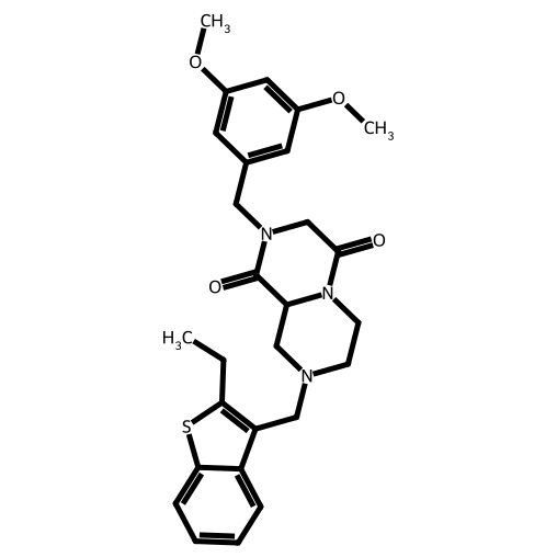 CCc1sc2ccccc2c1CN1CCN2C(=O)CN(Cc3cc(OC)cc(OC)c3)C(=O)C2C1